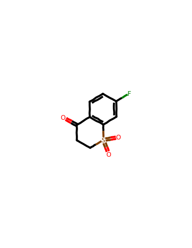 O=C1CCS(=O)(=O)c2cc(F)ccc21